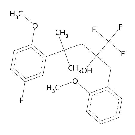 COc1ccccc1CC(O)(CC(C)(C)c1cc(F)ccc1OC)C(F)(F)F